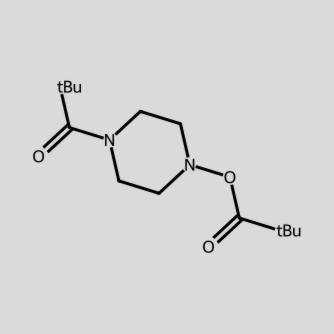 CC(C)(C)C(=O)ON1CCN(C(=O)C(C)(C)C)CC1